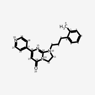 Cc1ccccc1CCCN1CCn2c1nc(-c1ccncc1)cc2=O